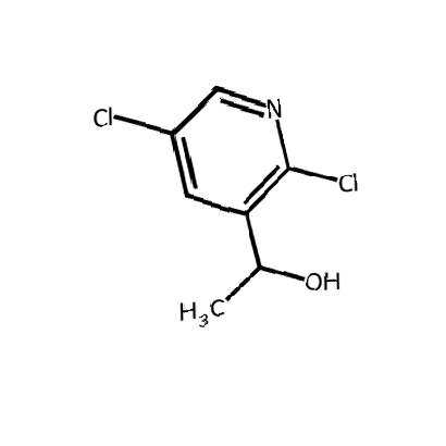 CC(O)c1cc(Cl)cnc1Cl